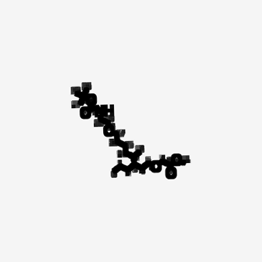 CCCC(CCOCC(=O)OC)C(C)CCCCOCCNC(=O)OC(C)(C)C